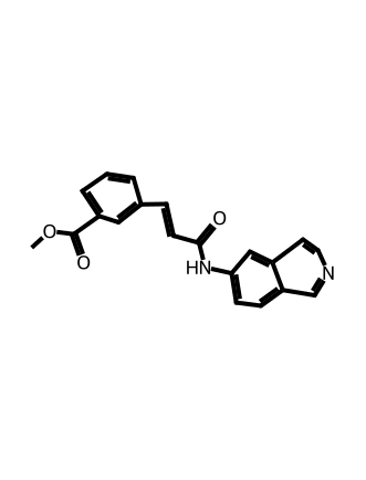 COC(=O)c1cccc(/C=C/C(=O)Nc2ccc3cnccc3c2)c1